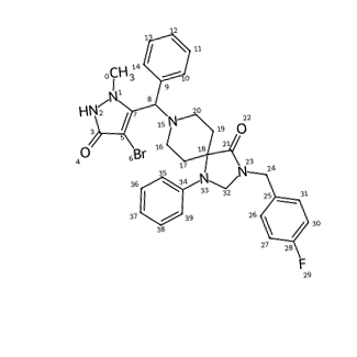 Cn1[nH]c(=O)c(Br)c1C(c1ccccc1)N1CCC2(CC1)C(=O)N(Cc1ccc(F)cc1)CN2c1ccccc1